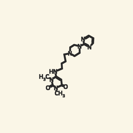 Cn1c(NCCCCN2CCN(c3ncccn3)CC2)cc(=O)n(C)c1=O